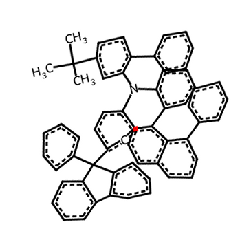 CC(C)(C)c1ccc(-c2ccccc2)c(N(c2ccc(C3(c4ccccc4)c4ccccc4-c4ccccc43)cc2)c2ccccc2-c2cccc3cccc(-c4ccccc4)c23)c1